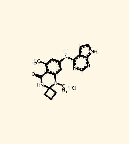 Cc1cc(Nc2ncnc3[nH]ccc23)cc2c1C(=O)NC1(CCC1)N2C.Cl